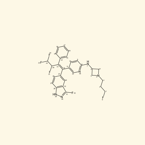 FCCCN1CC(Nc2ccc(C(=C(c3ccccc3)C(F)C(F)F)c3ccc4[nH]nc(F)c4c3)cn2)C1